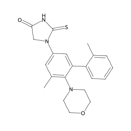 Cc1ccccc1-c1cc(N2CC(=O)NC2=S)cc(C)c1N1CCOCC1